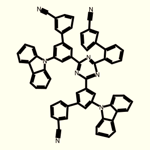 N#Cc1cccc(-c2cc(-c3nc(-c4cc(-c5cccc(C#N)c5)cc(-n5c6ccccc6c6ccccc65)c4)nc(-c4ccccc4-c4cccc(C#N)c4)n3)cc(-n3c4ccccc4c4ccccc43)c2)c1